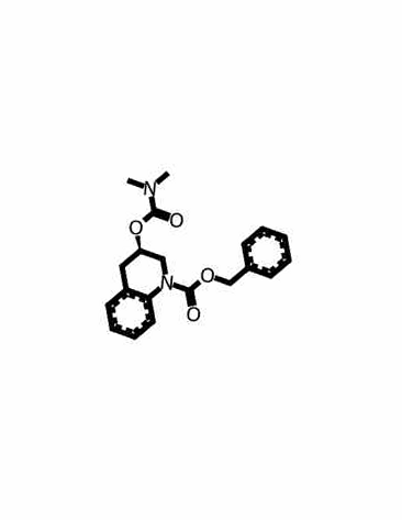 CN(C)C(=O)O[C@@H]1Cc2ccccc2N(C(=O)OCc2ccccc2)C1